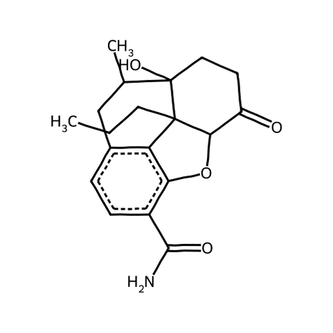 CCCC12c3c4ccc(C(N)=O)c3OC1C(=O)CCC2(O)C(C)C4